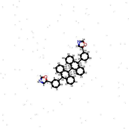 c1cc(-c2cnco2)cc(-c2c3ccccc3c(-c3c4ccccc4c(-c4cccc(-c5cnco5)c4)c4ccccc34)c3ccccc23)c1